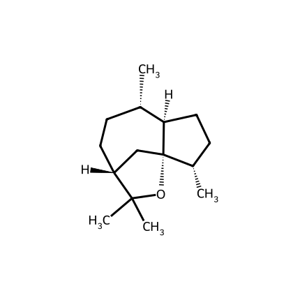 C[C@H]1CC[C@@H]2C[C@@]3(OC2(C)C)[C@@H]1CC[C@@H]3C